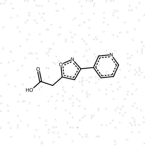 O=C(O)Cc1cc(-c2cccnc2)no1